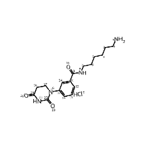 Cl.NCCCCCCNC(=O)c1cccc(N2CCC(=O)NC2=O)c1